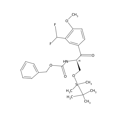 COc1ccc(C(=O)[C@@H](CO[Si](C)(C)C(C)(C)C)NC(=O)OCc2ccccc2)cc1C(F)F